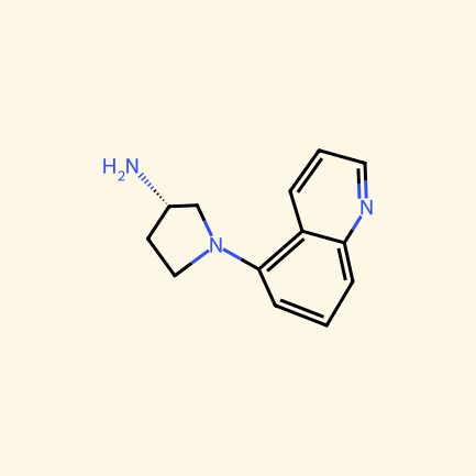 N[C@H]1CCN(c2cccc3ncccc23)C1